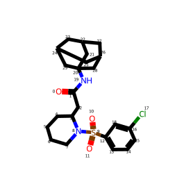 O=C(CC1CCCCN1S(=O)(=O)c1cccc(Cl)c1)NC12CC3CC(CC(C3)C1)C2